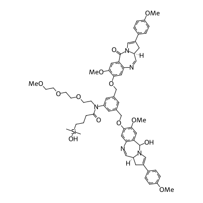 COCCOCCOCCN(C(=O)CCC[Si](C)(C)O)c1cc(COc2cc3c(cc2OC)C(=O)N2C=C(c4ccc(OC)cc4)C[C@H]2C=N3)cc(COc2cc3c(cc2OC)C(O)N2C=C(c4ccc(OC)cc4)C[C@H]2C=N3)c1